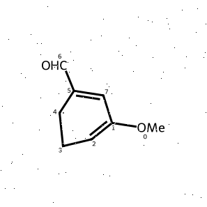 COC1=CC[CH]C(C=O)=C1